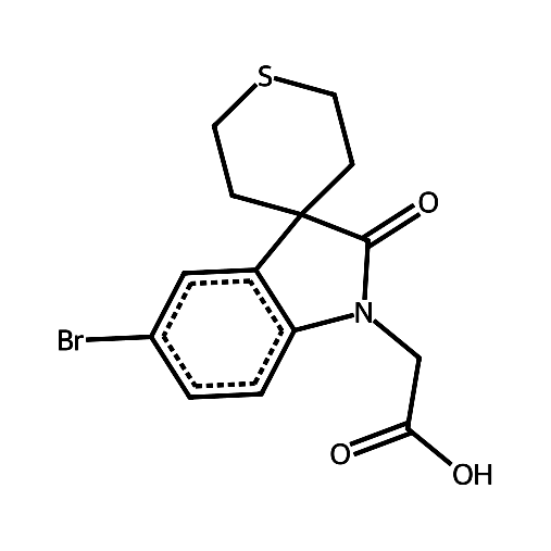 O=C(O)CN1C(=O)C2(CCSCC2)c2cc(Br)ccc21